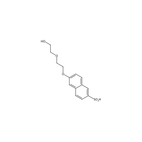 O=S(=O)(O)c1ccc2cc(OCCOCCO)ccc2c1